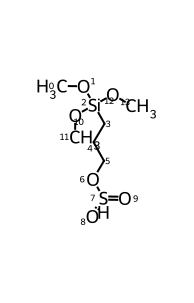 CO[Si](CCCO[SH](=O)=O)(OC)OC